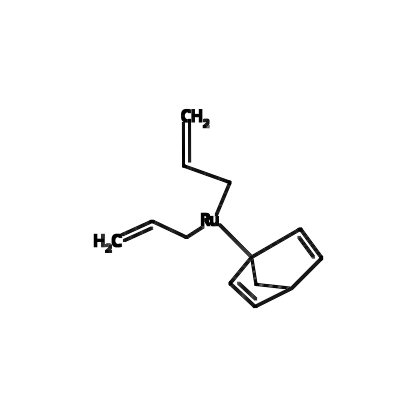 C=C[CH2][Ru]([CH2]C=C)[C]12C=CC(C=C1)C2